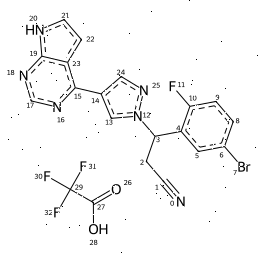 N#CCC(c1cc(Br)ccc1F)n1cc(-c2ncnc3[nH]ccc23)cn1.O=C(O)C(F)(F)F